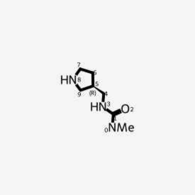 CNC(=O)NC[C@@H]1CCNC1